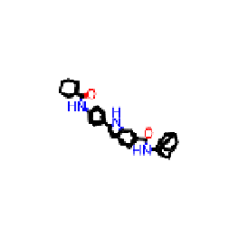 O=C(NC1C2CC3CC(C2)CC1C3)c1ccc2cc(-c3ccc(NC(=O)C4CCCCC4)cc3)[nH]c2c1